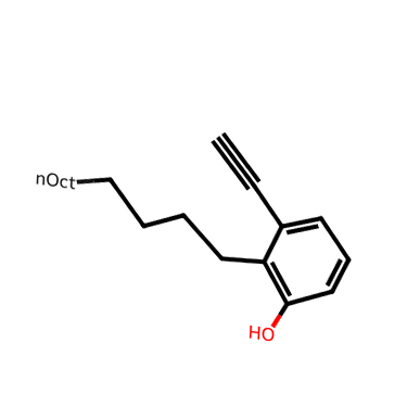 C#Cc1cccc(O)c1CCCCCCCCCCCC